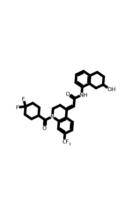 O=C(C=C1CCN(C(=O)C2CCC(F)(F)CC2)c2cc(C(F)(F)F)ccc21)Nc1cccc2c1CC(O)CC2